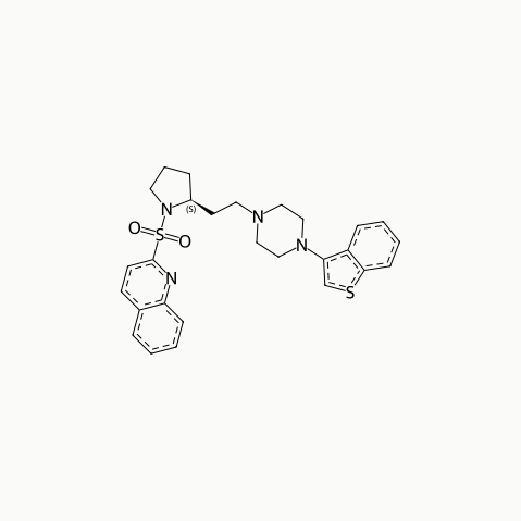 O=S(=O)(c1ccc2ccccc2n1)N1CCC[C@H]1CCN1CCN(c2csc3ccccc23)CC1